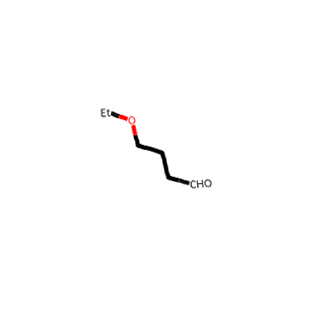 CCOCCCC=O